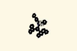 NC(N/C(=C\Cc1ccc(-c2ccccc2)cc1)c1cc(-c2cc3ccccc3c3ccccc23)cc(-c2c3ccccc3cc3c2ccc2ccccc23)c1)c1ccccc1